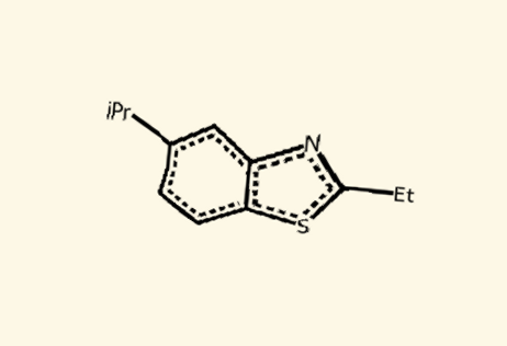 CCc1nc2cc(C(C)C)ccc2s1